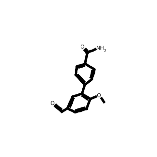 COc1ccc(C=O)cc1-c1ccc(C(N)=O)cc1